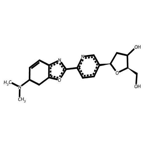 CN(C)C1C=Cc2nc(-c3ccc([C@H]4CC(O)[C@@H](CO)O4)cn3)oc2C1